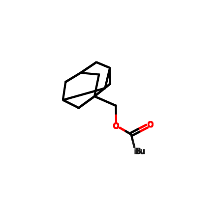 CCC(C)C(=O)OCC12CC3CC(CC(C3)C1)C2